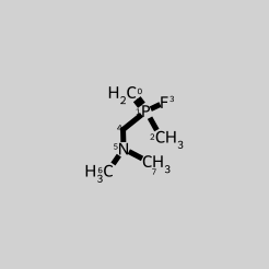 C=P(C)(F)CN(C)C